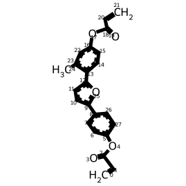 C=CC(=O)Oc1ccc(-c2ccc(-c3ccc(OC(=O)C=C)cc3C)o2)cc1